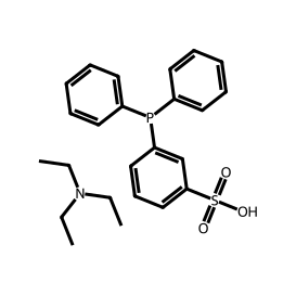 CCN(CC)CC.O=S(=O)(O)c1cccc(P(c2ccccc2)c2ccccc2)c1